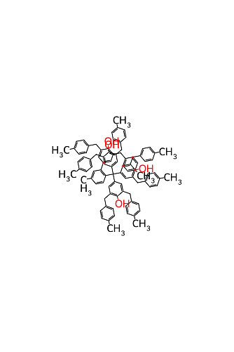 Cc1ccc(Cc2cc(-c3cc(C)ccc3C(c3cc(Cc4ccc(C)cc4)c(O)c(Cc4ccc(C)cc4)c3)(c3cc(Cc4ccc(C)cc4)c(O)c(Cc4ccc(C)cc4)c3)c3cc(Cc4ccc(C)cc4)c(O)c(Cc4ccc(C)cc4)c3)cc(Cc3ccc(C)cc3)c2O)cc1